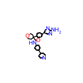 Nc1ncc(-c2ccc(C3(C(=O)Nc4ccc(-c5ccncc5)cc4)CCOCC3)cc2)cn1